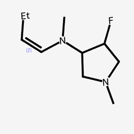 CC/C=C\N(C)C1CN(C)CC1F